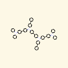 c1ccc(-c2ccc(N(c3ccc(-c4ccc(N(c5ccccc5)c5ccccc5)cc4)cc3)c3ccc(-c4ccc(N(c5ccc(-c6ccccc6)cc5)c5ccc(-c6ccc(N(c7ccccc7)c7ccccc7)cc6)cc5)cc4)cc3)cc2)cc1